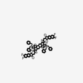 O=C1C(=Cc2cc3c(s2)C2=CC4C=C5C(=CC4C=C2C3(C(=O)OCc2ccccc2)C(=O)OCc2ccccc2)c2sc(C=C3C(=O)c4cc6cc(F)c(F)cc6cc4C3=O)cc2C5(C(=O)OCc2ccccc2)C(=O)OCc2ccccc2)C(=O)c2cc3cc(F)c(F)cc3cc21